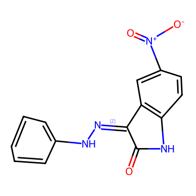 O=C1Nc2ccc([N+](=O)[O-])cc2/C1=N/Nc1ccccc1